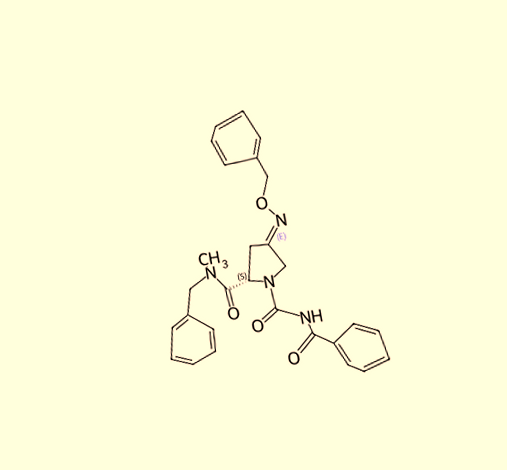 CN(Cc1ccccc1)C(=O)[C@@H]1C/C(=N\OCc2ccccc2)CN1C(=O)NC(=O)c1ccccc1